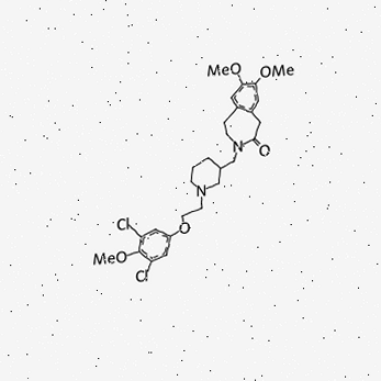 COc1cc2c(cc1OC)CC(=O)N(CC1CCCN(CCOc3cc(Cl)c(OC)c(Cl)c3)C1)CC2